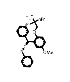 CCCC(C)(COc1ccc(OC)cc1C(=C=Nc1ccccc1)c1ccccc1)C(C)C